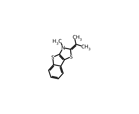 CC(C)=C1Sc2c(sc3ccccc23)N1C